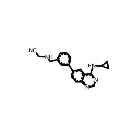 N#CCNCc1cccc(-c2ccc3ncnc(NC4CC4)c3c2)c1